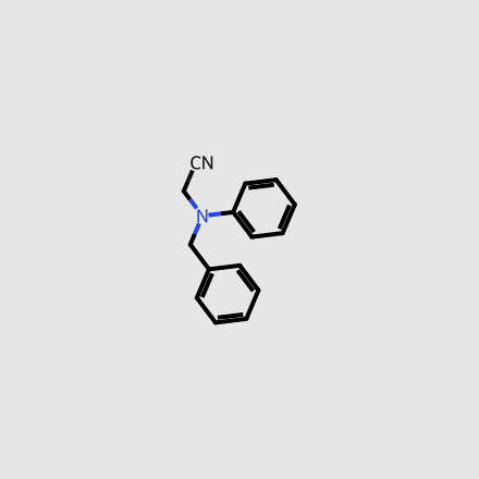 N#CCN(Cc1ccccc1)c1ccccc1